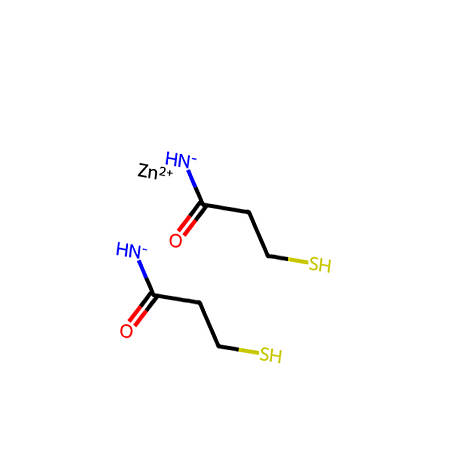 [NH-]C(=O)CCS.[NH-]C(=O)CCS.[Zn+2]